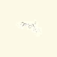 CC(C)C[C@@H](CO)NC(=O)c1c(-c2ccsc2)nc2c(C(=O)NCc3cnc(N)nc3)cccn12